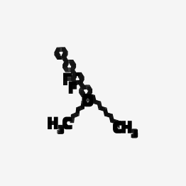 CCCCCCCCCCC1(OCCCCCCC)C=CC(c2ccc(-c3ccc(-c4ccccc4)cc3)c(F)c2F)=CC1